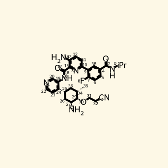 CC(C)NC(=O)c1ccc(F)c(-c2ccc(N)c(C(=O)Nc3cnccc3[C@H]3C[C@@H](N)[C@@H](OCCC#N)[C@@H](C)C3)n2)c1